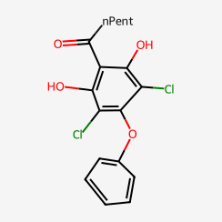 CCCCCC(=O)c1c(O)c(Cl)c(Oc2ccccc2)c(Cl)c1O